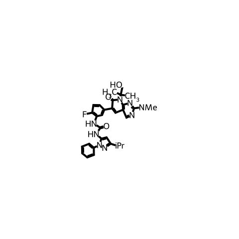 CNc1ncc2cc(-c3ccc(F)c(NC(=O)Nc4cc(C(C)C)nn4-c4ccccc4)c3)c(=O)n(C(C)(C)CO)c2n1